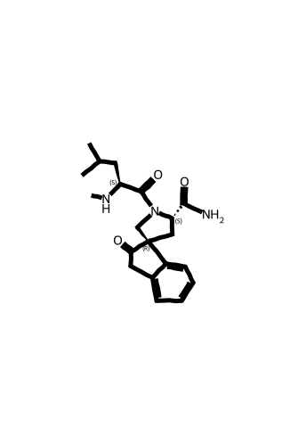 CN[C@@H](CC(C)C)C(=O)N1C[C@]2(C[C@H]1C(N)=O)C(=O)Cc1ccccc12